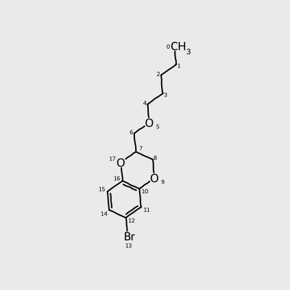 CCCCCOCC1COc2cc(Br)ccc2O1